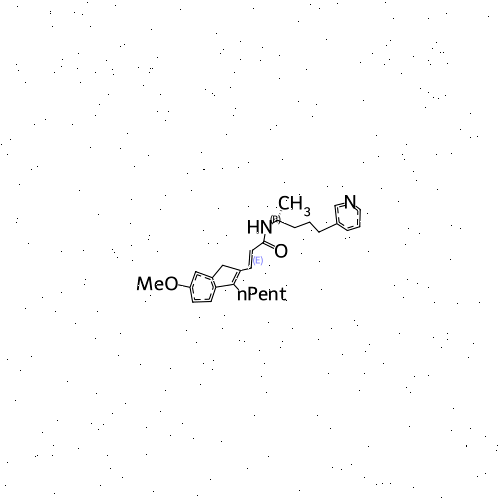 CCCCCC1=C(/C=C/C(=O)N[C@H](C)CCCc2cccnc2)Cc2cc(OC)ccc21